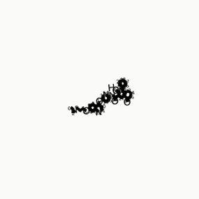 CN(C)CCCOc1ccc2c(Oc3ccc(NC(=O)c4cc5c(n(-c6ccccc6)c4=O)CCCC5=O)nc3)ccnc2c1